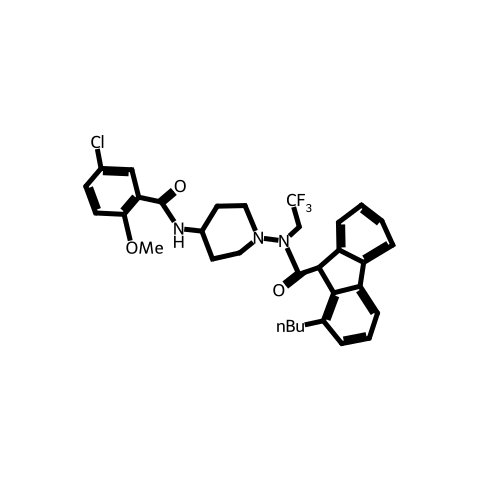 CCCCc1cccc2c1C(C(=O)N(CC(F)(F)F)N1CCC(NC(=O)c3cc(Cl)ccc3OC)CC1)c1ccccc1-2